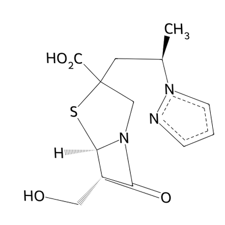 C[C@H](CC1(C(=O)O)CN2C(=O)[C@H](CO)[C@H]2S1)n1cccn1